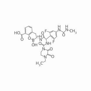 CCN1CCN(C(=O)NC(C(=O)N[C@H]2Cc3cccc(C(=O)O)c3OB2O)c2c(F)cc(NC(=O)NC)cc2F)C(=O)C1=O